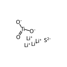 [Li+].[Li+].[Li+].[Li+].[O]=[Ti]([O-])[O-].[S-2]